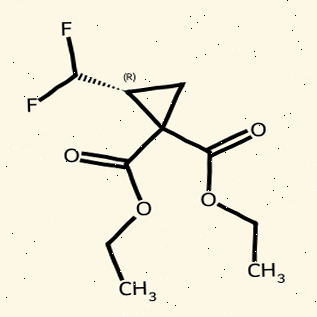 CCOC(=O)C1(C(=O)OCC)C[C@H]1C(F)F